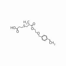 C=Cc1ccc(COCCOC(=O)C(C)CSCCC(=O)O)cc1